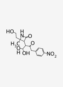 CC1(CCO)NC(=O)C1C(C(=O)Cc1ccc([N+](=O)[O-])cc1)C(O)O